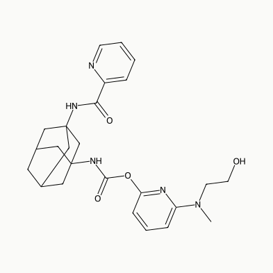 CN(CCO)c1cccc(OC(=O)NC23CC4CC(C2)CC(NC(=O)c2ccccn2)(C4)C3)n1